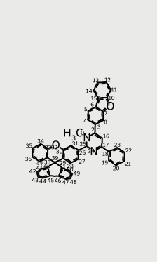 CN1C(c2ccc3c(c2)oc2ccccc23)=CC(c2ccccc2)=NC1c1ccc2c(c1)Oc1ccccc1C21c2ccccc2-c2ccccc21